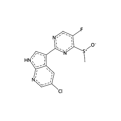 C[S+]([O-])c1nc(-c2c[nH]c3ncc(Cl)cc23)ncc1F